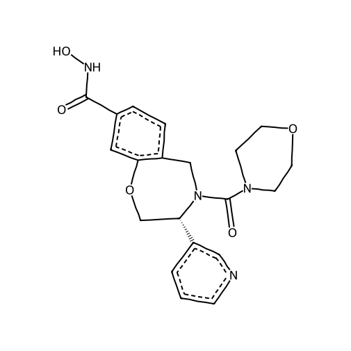 O=C(NO)c1ccc2c(c1)OC[C@@H](c1cccnc1)N(C(=O)N1CCOCC1)C2